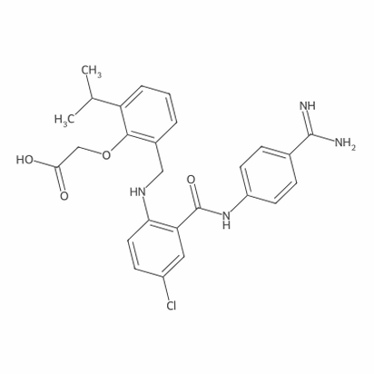 CC(C)c1cccc(CNc2ccc(Cl)cc2C(=O)Nc2ccc(C(=N)N)cc2)c1OCC(=O)O